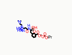 CC(C)OC(=O)OCOC(=O)c1cccc2c1OB(O)[C@@H](NC(=O)CC1=NNNN1CCN(C)C)C2